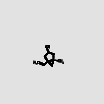 C=C[C@@]12CN(C#N)C[C@]1(C)C2